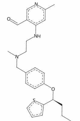 CCC[C@H](Oc1ccc(CN(C)CCNc2cc(C)ncc2C=O)cc1)c1cccs1